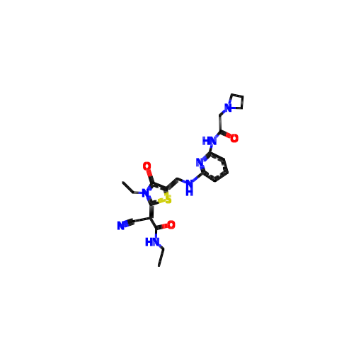 CCNC(=O)C(C#N)=c1sc(=CNc2cccc(NC(=O)CN3CCC3)n2)c(=O)n1CC